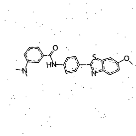 COc1ccc2nc(-c3ccc(NC(=O)c4cccc(N(C)C)c4)cc3)sc2c1